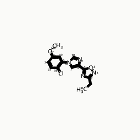 CCc1noc(-c2cn(-c3cc(OC)ccc3Cl)cn2)n1